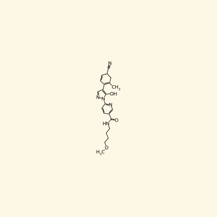 COCCCCNC(=O)c1ccc(-n2ncc(C3=C(C)CC(C#N)C=C3)c2O)nc1